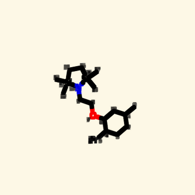 CC1CCC(C(C)C)C(OCCN2[Si](C)(C)CC[Si]2(C)C)C1